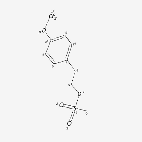 CS(=O)(=O)OCCc1ccc(OC(F)(F)F)cc1